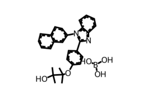 CC(C)(O)C(C)(C)Oc1ccc(-c2nc3ccccc3n2-c2ccc3ccccc3c2)cc1.OB(O)O